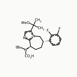 COC(C)(C)c1cnc2n1C[C@H](c1cccc(F)c1F)CC[C@H]2N(C(=O)O)C(C)(C)C